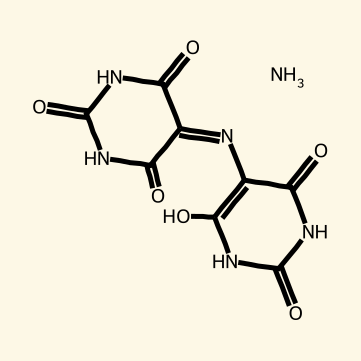 N.O=C1NC(=O)C(=Nc2c(O)[nH]c(=O)[nH]c2=O)C(=O)N1